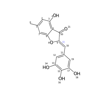 Cc1cc(O)c2c(c1)O/C(=C\c1cc(O)c(O)c(O)c1)C2=O